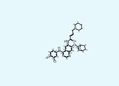 O=C(C=CCN1CCCCC1)Nc1cc2c(Nc3ccc(F)c(Cl)c3)ncnc2cc1OC1CC2CCC1O2